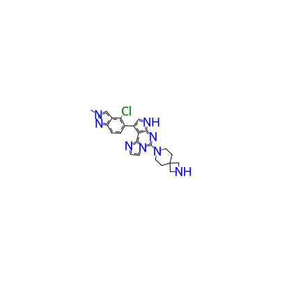 Cn1cc2c(Cl)c(-c3c[nH]c4nc(N5CCC6(CC5)CNC6)n5ccnc5c34)ccc2n1